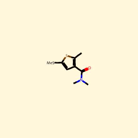 CSc1cc(C(=O)N(C)C)c(C)s1